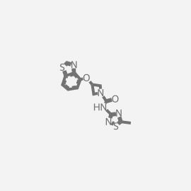 Cc1nc(NC(=O)N2CC(Oc3cccc4scnc34)C2)ns1